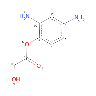 Nc1ccc(OC(=O)CO)c(N)c1